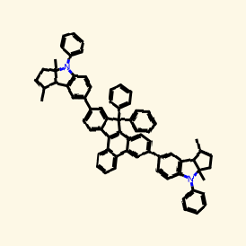 CC1CCC2(C)C1c1cc(-c3ccc4c(c3)C(c3ccccc3)(c3ccccc3)c3c-4c4ccccc4c4cc(-c5ccc6c(c5)C5C(C)CCC5(C)N6c5ccccc5)ccc34)ccc1N2c1ccccc1